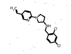 C=Cc1ccc(N2CCC(NCc3ccc(Cl)cc3Cl)C2)nc1